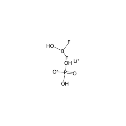 O=P([O-])(O)O.OB(F)F.[Li+]